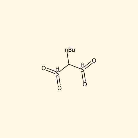 CCCCC([SH](=O)=O)[SH](=O)=O